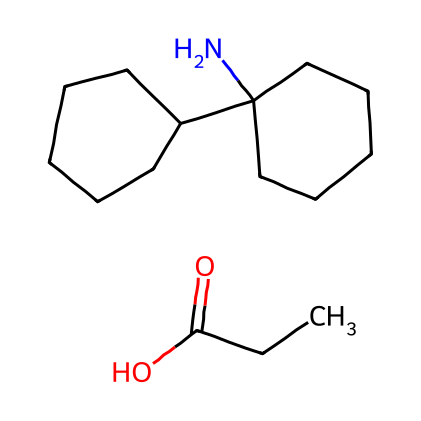 CCC(=O)O.NC1(C2CCCCC2)CCCCC1